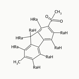 Cc1[c]([RaH])[c]([RaH])c2c([c]1[RaH])[C]([RaH])([RaH])c1[c]([RaH])c(S(C)(=O)=O)[c]([RaH])[c]([RaH])c1-2